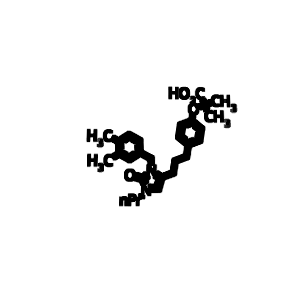 CCCn1cc(CCCc2ccc(OC(C)(C)C(=O)O)cc2)n(Cc2ccc(C)c(C)c2)c1=O